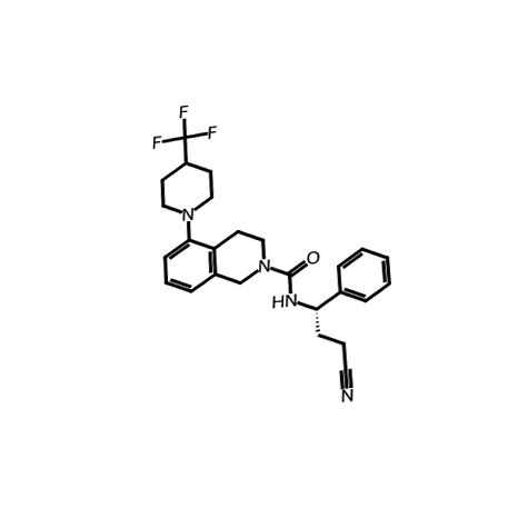 N#CCC[C@H](NC(=O)N1CCc2c(cccc2N2CCC(C(F)(F)F)CC2)C1)c1ccccc1